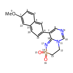 COc1ccc2cc(C3=CN=CN4CCS(=O)(=O)N=C34)ccc2c1